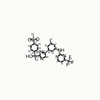 Cc1cc(Nc2nccc(C(F)(F)F)n2)cc(-c2cnc(C(C)(O)c3ccc(S(C)(=O)=O)cc3)[nH]2)c1